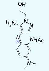 CC(=O)NC1=CC(=[N+](C)C)C=C/C1=N/c1cnn(CCO)c1N